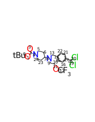 CC(C)(C)OC(=O)N1CCC(N(CCOC(F)(F)F)Cc2ccc(C(Cl)Cl)cc2)CC1